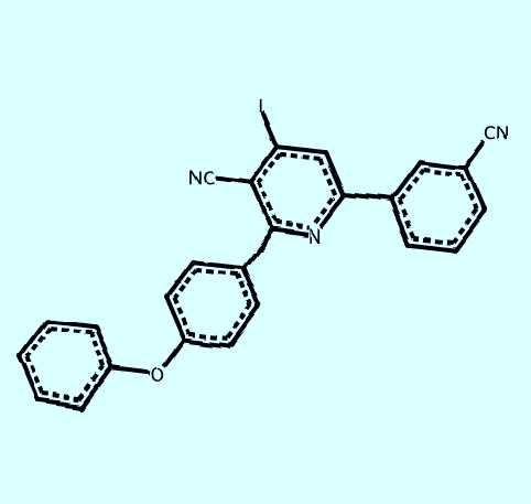 N#Cc1cccc(-c2cc(I)c(C#N)c(-c3ccc(Oc4ccccc4)cc3)n2)c1